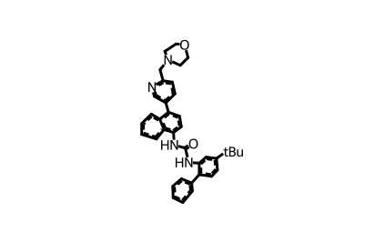 CC(C)(C)c1ccc(-c2ccccc2)c(NC(=O)Nc2ccc(-c3ccc(CN4CCOCC4)nc3)c3ccccc23)c1